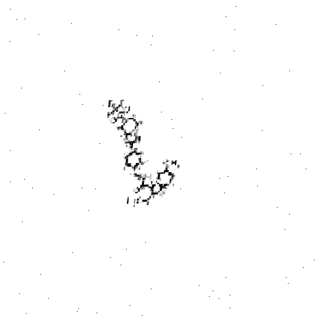 CCc1nc2ccc(C)cn2c1C(=O)NCc1ccc(-c2nc3n(n2)CCN(S(=O)(=O)C(F)(F)F)C3)cc1